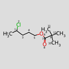 CC(Cl)CCCOC(=O)C(C)(C)C